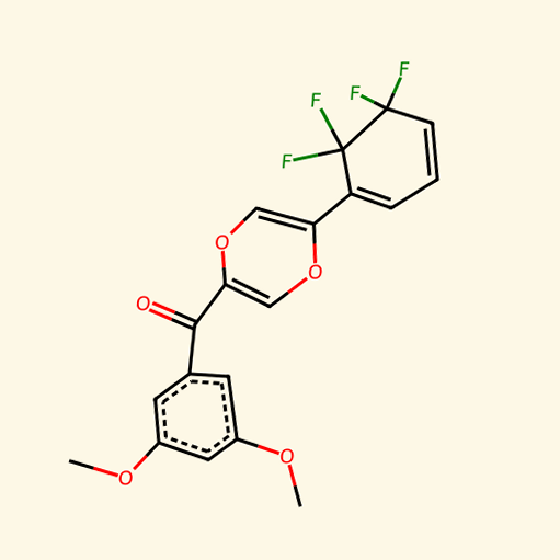 COc1cc(OC)cc(C(=O)C2=COC(C3=CC=CC(F)(F)C3(F)F)=CO2)c1